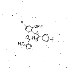 COc1cc(F)ccc1C1SC(c2ccc(F)cc2)=NN1C(=O)c1cccn1C